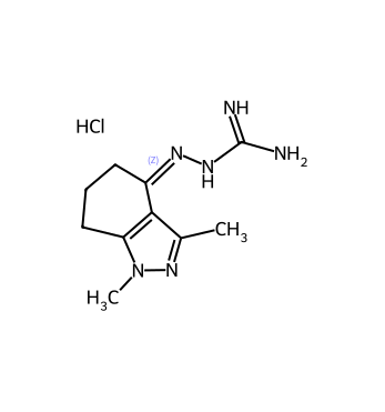 Cc1nn(C)c2c1/C(=N\NC(=N)N)CCC2.Cl